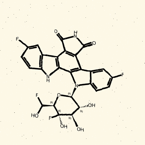 O=C1NC(=O)c2c1c1c3cc(F)ccc3[nH]c1c1c2c2cc(F)ccc2n1[C@@H]1O[C@H](C(O)F)[C@](O)(F)[C@H](O)[C@H]1O